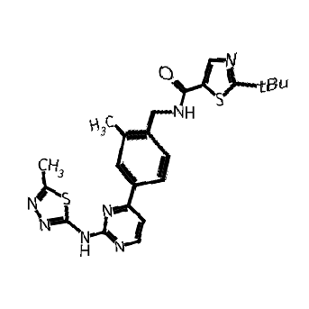 Cc1nnc(Nc2nccc(-c3ccc(CNC(=O)c4cnc(C(C)(C)C)s4)c(C)c3)n2)s1